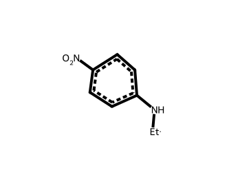 C[CH]Nc1ccc([N+](=O)[O-])cc1